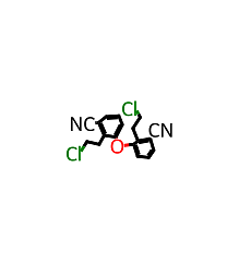 N#Cc1cccc(Oc2cccc(C#N)c2CCCl)c1CCCl